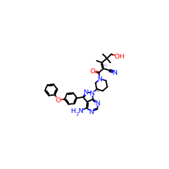 C/C(=C(/C#N)C(=O)N1CCC[C@@H](n2nc(-c3ccc(Oc4ccccc4)cc3)c3c(N)ncnc32)C1)C(C)(C)CO